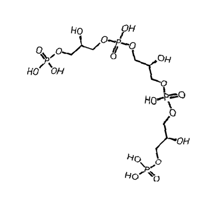 O=P(O)(O)OC[C@@H](O)COP(=O)(O)OC[C@@H](O)COP(=O)(O)OC[C@@H](O)COP(=O)(O)O